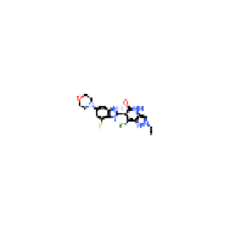 CCn1cc2[nH]c(=O)c(-c3nc4c(F)cc(N5CCOCC5)cc4[nH]3)c(Cl)c2n1